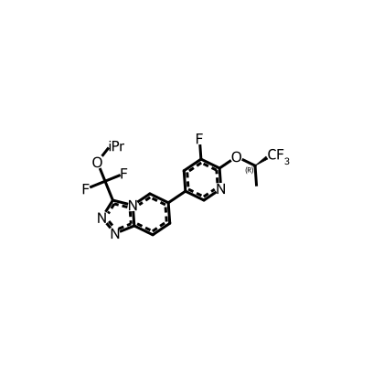 CC(C)OC(F)(F)c1nnc2ccc(-c3cnc(O[C@H](C)C(F)(F)F)c(F)c3)cn12